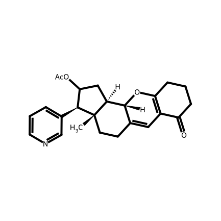 CC(=O)OC1C[C@H]2[C@@H]3OC4=C(C=C3CC[C@]2(C)[C@H]1c1cccnc1)C(=O)CCC4